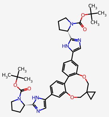 CC(C)(C)OC(=O)N1CCC[C@H]1c1ncc(-c2ccc3c(c2)OCC2(CC2)COc2cc(-c4cnc([C@@H]5CCCN5C(=O)OC(C)(C)C)[nH]4)ccc2-3)[nH]1